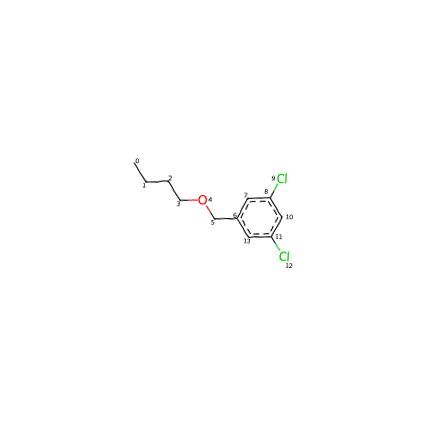 CCCCOCc1cc(Cl)cc(Cl)c1